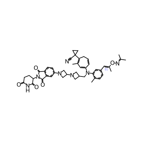 CC(C)=NO/C(C)=C/c1ccc(C)c(N(CC2CN(C3CN(c4ccc5c(c4)C(=O)N(C4CCC(=O)NC4=O)C5=O)C3)C2)C2=CC(C)=C(C3(C#N)CC3)CC=C2)c1